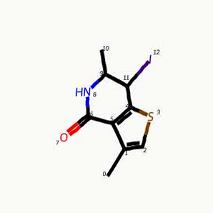 Cc1csc2c1C(=O)NC(C)C2I